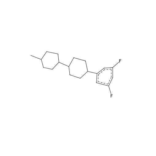 CC1CCC(C2CCC(c3cc(F)cc(F)c3)CC2)CC1